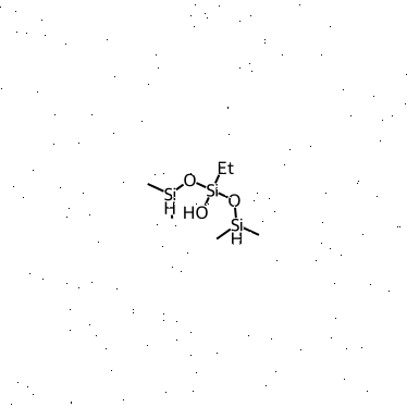 CC[Si](O)(O[SiH](C)C)O[SiH](C)C